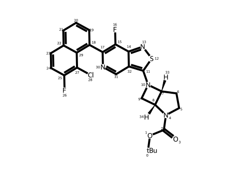 CC(C)(C)OC(=O)N1CC[C@@H]2[C@H]1CN2c1snc2c(F)c(-c3cccc4ccc(F)c(Cl)c34)ncc12